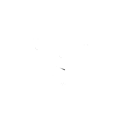 COC(=O)[C@](CC=NO)(NC(=O)OC(C)(C)C)C(C)C